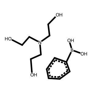 OB(O)c1ccccc1.OCCN(CCO)CCO